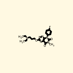 CCN(CC)CCCOc1nnc2c(n1)c(=O)n(C)c(=O)n2-c1ccc(F)cc1